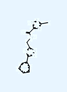 Cc1n[nH]c(C(=O)NCc2nnc(-c3ccccc3)s2)n1